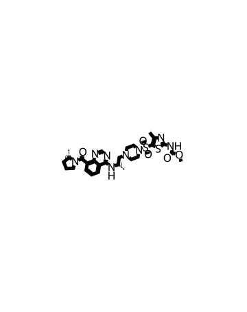 COC(=O)Nc1nc(C)c(S(=O)(=O)N2CCN(C[C@H](C)Nc3ncnc4c(C(=O)N5CCC[C@@H]5C)cccc34)CC2)s1